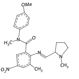 COc1ccc(N(C)C(=O)c2cc([N+](=O)[O-])cc(C)c2/N=C/C2CCCN2C)cc1